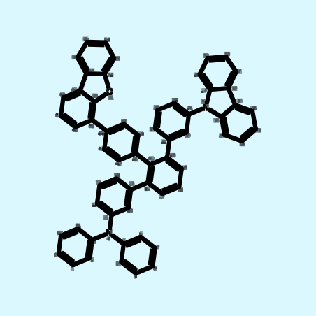 c1ccc(N(c2ccccc2)c2cccc(-c3cccc(-c4cccc(-n5c6ccccc6c6ccccc65)c4)c3-c3ccc(-c4cccc5c4oc4ccccc45)cc3)c2)cc1